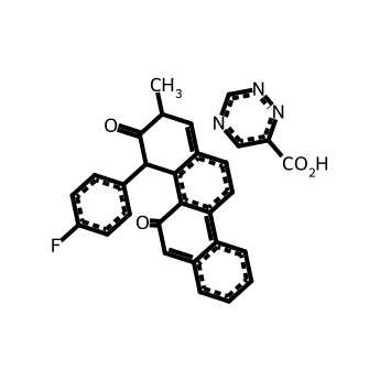 CC1C=c2ccc3c(c2C(c2ccc(F)cc2)C1=O)C(=O)C=c1ccccc1=3.O=C(O)c1cncnn1